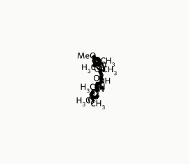 COc1cc(C)c(S(=O)(=O)N(C)CCC(=O)Nc2cc(C)c(N3CCC(N(C)C)CC3)nn2)c(C)c1